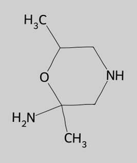 CC1CNCC(C)(N)O1